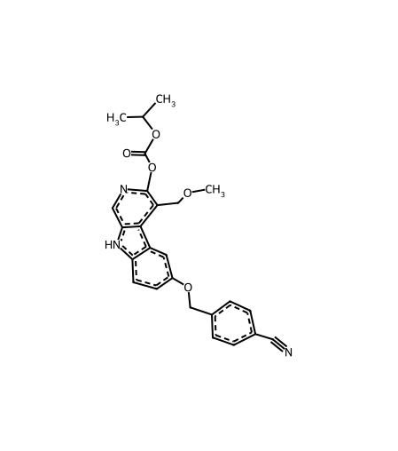 COCc1c(OC(=O)OC(C)C)ncc2[nH]c3ccc(OCc4ccc(C#N)cc4)cc3c12